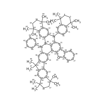 CC1(C)CCC(C)(C)c2cc(N3c4cc5c(cc4B4c6c3cc3c(oc7ccccc73)c6-c3cc6c(cc3N4c3ccccc3)C(C)(C)c3cc4c(cc3-6)C(C)(C)CCC4(C)C)C(C)(C)CCC5(C)C)ccc21